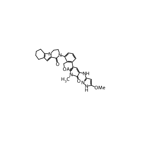 COc1cc(Nc2cc(-c3cccc(N4CCn5c(cc6c5CCCC6)C4=O)c3COC(C)=O)cn(C)c2=O)n[nH]1